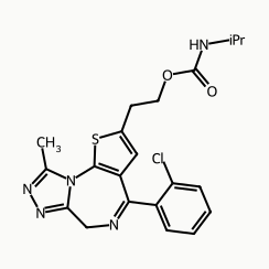 Cc1nnc2n1-c1sc(CCOC(=O)NC(C)C)cc1C(c1ccccc1Cl)=NC2